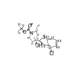 CC1CC(O)(c2cc3c(Cl)cccc3s2)CCN1C(=O)OC(C)(C)C